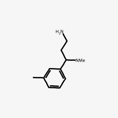 CNC(CCN)c1cccc(C)c1